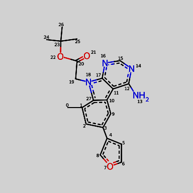 Cc1cc(-c2ccoc2)cc2c3c(N)ncnc3n(CC(=O)OC(C)(C)C)c12